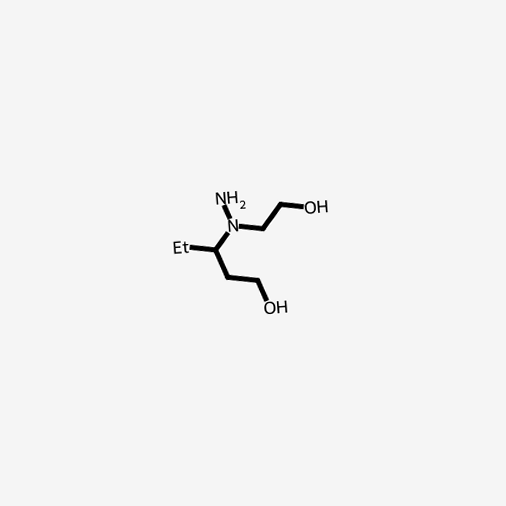 CCC(CCO)N(N)CCO